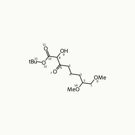 COCC(CCCC(=O)C(O)C(=O)OC(C)(C)C)OC